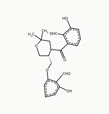 CC1(C)CN(C(=O)c2cccc(O)c2C=O)[C@H](COc2cccc(O)c2C=O)CO1